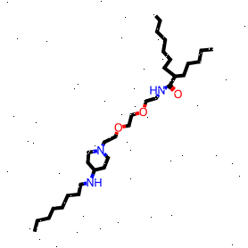 CCCCCCCCNC1CCN(CCOCCOCCNC(=O)C(CCCCC)CCCCCCC)CC1